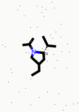 CCC1C[C@@H](C(C)C)N(C(C)C)C1